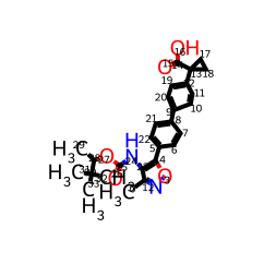 Cc1noc(-c2ccc(-c3ccc(C4(C(=O)O)CC4)cc3)cc2)c1NC(=O)OC(C)C(C)(C)C